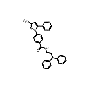 O=C(NCCC(c1ccccc1)c1ccccc1)c1ccc(-n2nc(C(F)(F)F)cc2-c2cccnc2)cc1